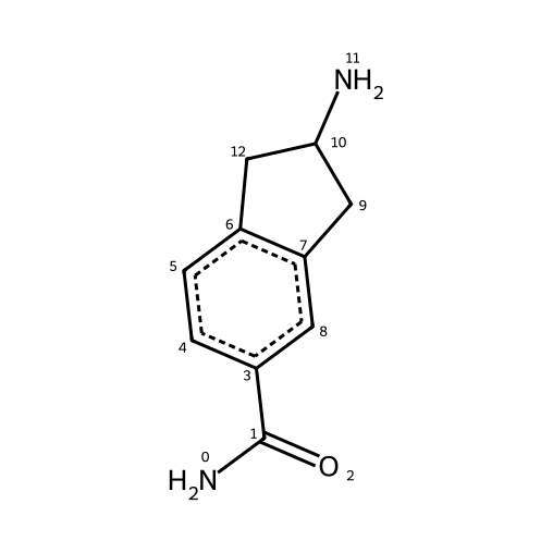 NC(=O)c1ccc2c(c1)CC(N)C2